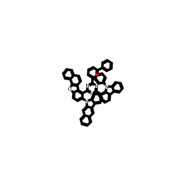 c1ccc(-c2cccc(-c3nc(-c4c(-n5c6ccccc6c6cc7ccccc7cc65)ccc5oc6c7ccccc7ccc6c45)nc(-c4cccc5c6ccccc6n(-c6ccccc6)c45)n3)c2)cc1